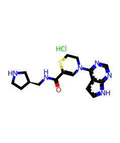 Cl.O=C(NC[C@H]1CCNC1)C1=CN(c2ncnc3[nH]ccc23)CCS1